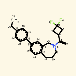 C=C(C1CC(F)(F)C1)N1CCCc2ccc(-c3ccc(CC(F)(F)F)cc3)cc2C1